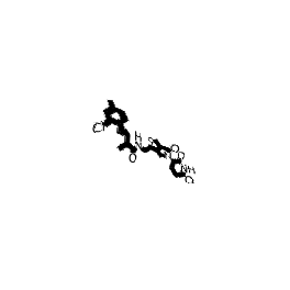 Cc1ccc(CCC(C)C(=O)NCc2scc3c2CN(C2CCC(=O)NC2=O)C3=O)c(Cl)c1